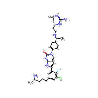 CSC[C@@H](CCN[C@@H](C)c1ccc(-n2cc3cc(-c4cc(CCC[C@H](C)N)cc(Cl)c4F)[nH]c3nc2=O)cc1)NC(=N)N